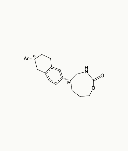 CC(=O)[C@@H]1CCc2cc([C@H]3CCCOC(=O)NC3)ccc2C1